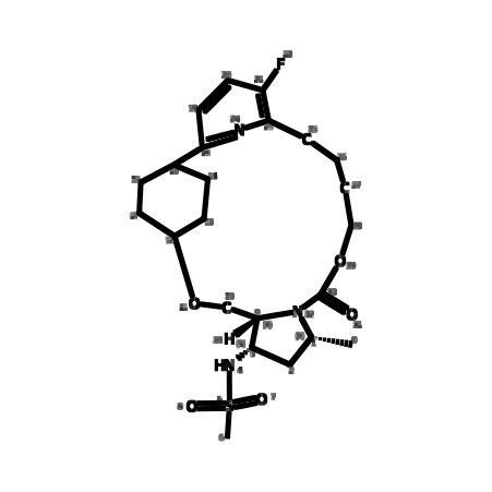 C[C@@H]1C[C@H](NS(C)(=O)=O)[C@@H]2COC3CCC(CC3)c3ccc(F)c(n3)CCCCOC(=O)N12